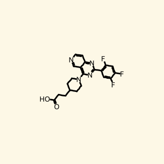 O=C(O)CCC1CCN(c2nc(-c3cc(F)c(F)cc3F)nc3ccncc23)CC1